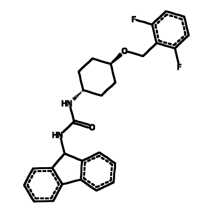 O=C(NC1c2ccccc2-c2ccccc21)N[C@H]1CC[C@H](OCc2c(F)cccc2F)CC1